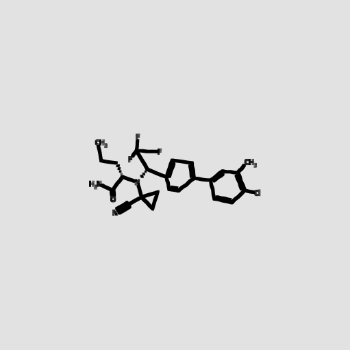 CCC[C@@H](C(N)=O)N([C@@H](c1ccc(-c2ccc(Cl)c(C)c2)cc1)C(F)(F)F)C1(C#N)CC1